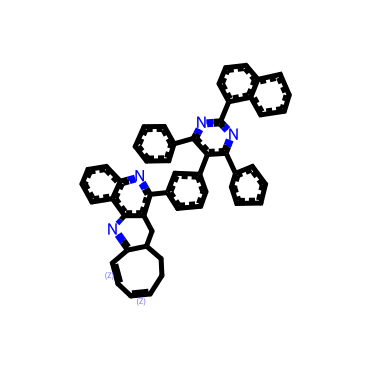 C1=C\CCC2Cc3c(-c4cccc(-c5c(-c6ccccc6)nc(-c6cccc7ccccc67)nc5-c5ccccc5)c4)nc4ccccc4c3N=C2\C=C/1